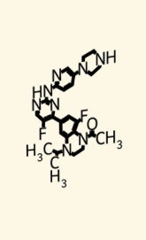 CC(=O)N1CCN(C(C)C)c2cc(-c3nc(Nc4ccc(N5CCNCC5)cn4)ncc3F)cc(F)c21